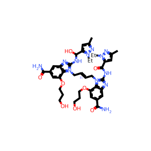 CCn1nc(C)cc1C(=O)Nc1nc2cc(C(N)=O)cc(OCCCO)c2n1C/C=C/Cn1c(NC(O)c2cc(C)nn2CC)nc2cc(C(N)=O)cc(OCCCO)c21